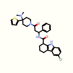 CN(C)C1(c2cccs2)CCN(C(=O)CC(NC(=O)C2CCCc3c2[nH]c2ccc(Cl)cc32)c2ccccc2)CC1